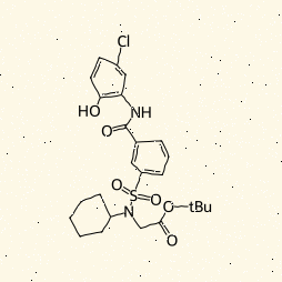 CC(C)(C)OC(=O)CN(C1CCCCC1)S(=O)(=O)c1cccc(C(=O)Nc2cc(Cl)ccc2O)c1